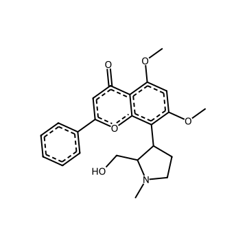 COc1cc(OC)c2c(=O)cc(-c3ccccc3)oc2c1C1CCN(C)C1CO